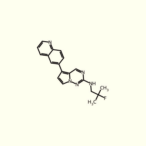 CC(C)(F)CNc1ncc2c(-c3ccc4ncccc4c3)ccn2n1